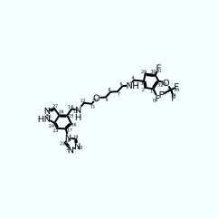 Fc1cc(CNCCCCOCCNCc2cc(-n3cnnc3)cc3[nH]ncc23)cc(F)c1OC(F)(F)F